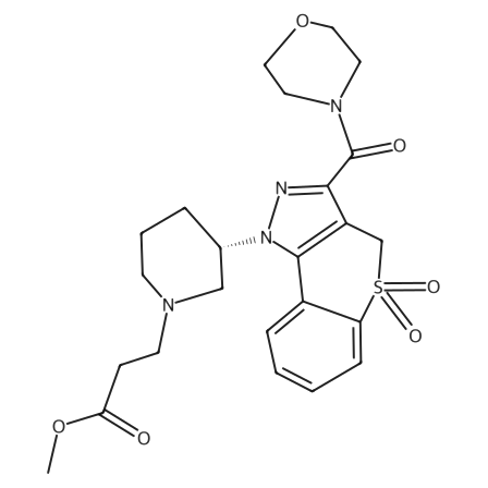 COC(=O)CCN1CCC[C@H](n2nc(C(=O)N3CCOCC3)c3c2-c2ccccc2S(=O)(=O)C3)C1